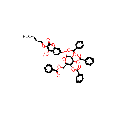 CCCCOc1c(O)c2ccc(O[C@@H]3O[C@H](COC(=O)c4ccccc4)[C@@H](OC(=O)c4ccccc4)[C@H](OC(=O)c4ccccc4)[C@H]3OC(=O)c3ccccc3)cc2oc1=O